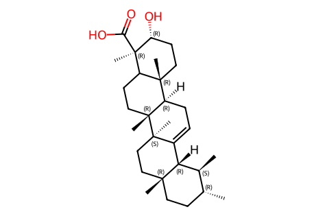 C[C@H]1[C@H](C)CC[C@]2(C)CC[C@]3(C)C(=CC[C@@H]4[C@@]5(C)CC[C@@H](O)[C@](C)(C(=O)O)C5CC[C@]43C)[C@H]12